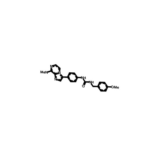 CNc1nccn2c(-c3ccc(NC(=O)NCc4ccc(OC)cc4)cc3)cnc12